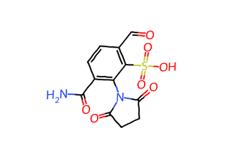 NC(=O)c1ccc(C=O)c(S(=O)(=O)O)c1N1C(=O)CCC1=O